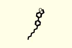 CCCCCCCc1ccc(-c2ccc3occc3c2)cc1